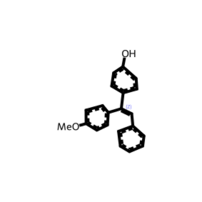 COc1ccc(/C(=C\c2ccccc2)c2ccc(O)cc2)cc1